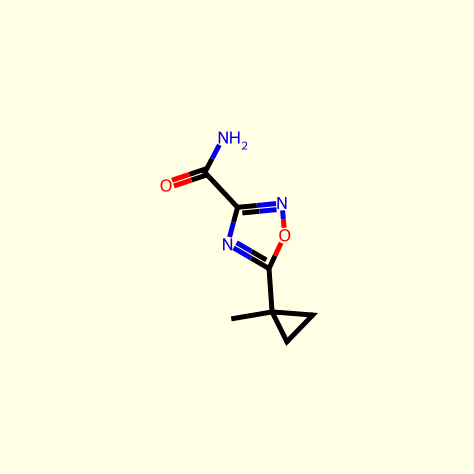 CC1(c2nc(C(N)=O)no2)CC1